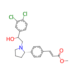 COC(=O)C=Cc1ccc([C@@H]2CCCN2CC(O)c2ccc(Cl)c(Cl)c2)cc1